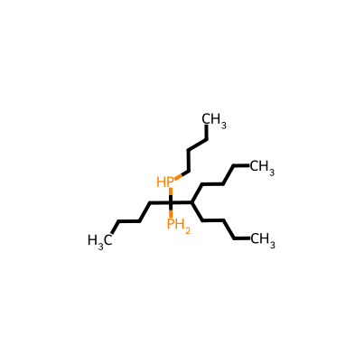 CCCCPC(P)(CCCC)C(CCCC)CCCC